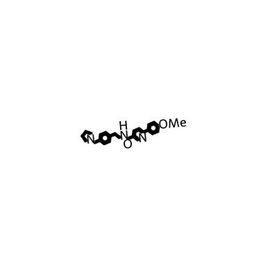 COc1ccc(-c2ccc(C(=O)NCCc3ccc(CN4CCCC4)cc3)cn2)cc1